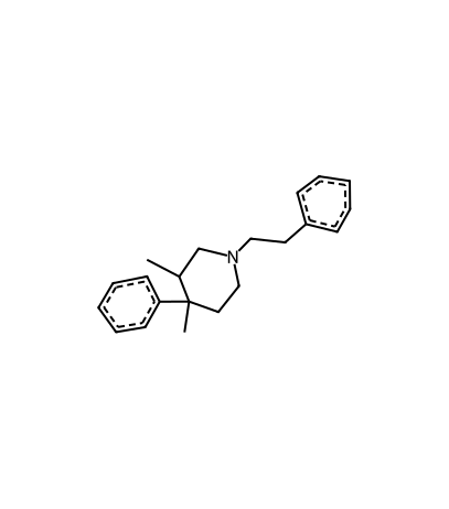 CC1CN(CCc2ccccc2)CCC1(C)c1ccccc1